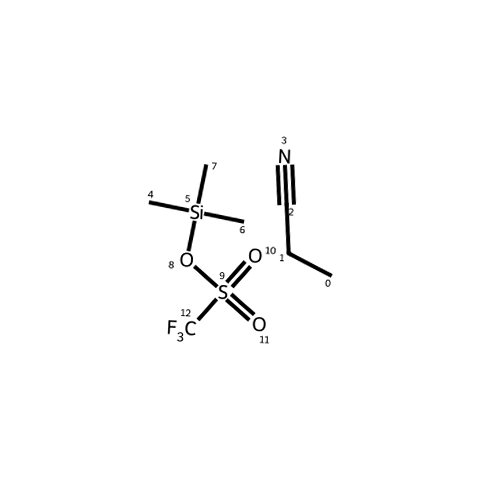 CCC#N.C[Si](C)(C)OS(=O)(=O)C(F)(F)F